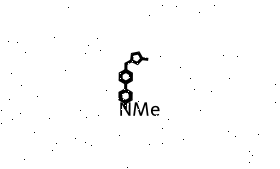 CNc1ccc(-c2ccc(CC3CCC(C)C3)cc2)cc1